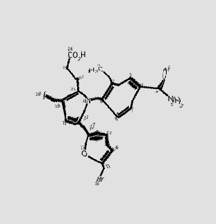 Cc1cc(C(N)=O)ccc1-n1c(-c2ccc(Br)o2)cc(I)c1CCC(=O)O